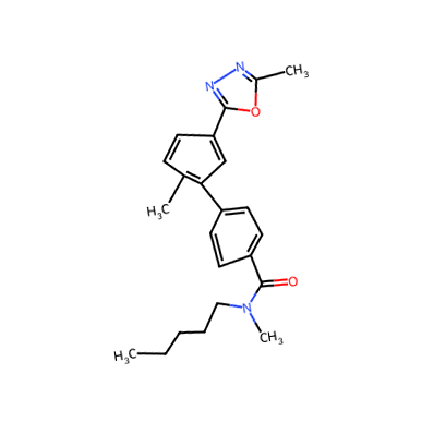 CCCCCN(C)C(=O)c1ccc(-c2cc(-c3nnc(C)o3)ccc2C)cc1